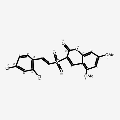 COc1cc(OC)c2cc(S(=O)(=O)/C=C/c3ccc(Cl)cc3Cl)c(=O)oc2c1